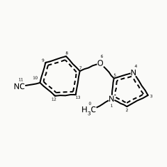 Cn1ccnc1Oc1ccc(C#N)cc1